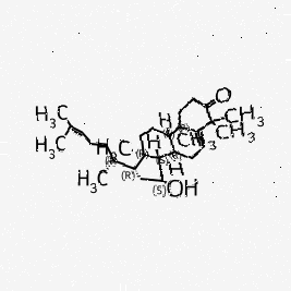 CC(C)=CCC[C@@H](C)[C@H]1C[C@H](O)[C@H]2[C@@H]3CC=C4C(C)(C)C(=O)CC[C@]4(C)[C@H]3CC[C@@]21C